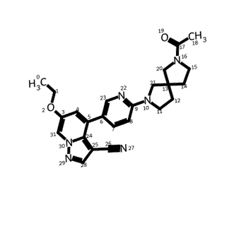 CCOc1cc(-c2ccc(N3CCC4(CCN(C(C)=O)C4)C3)nc2)c2c(C#N)cnn2c1